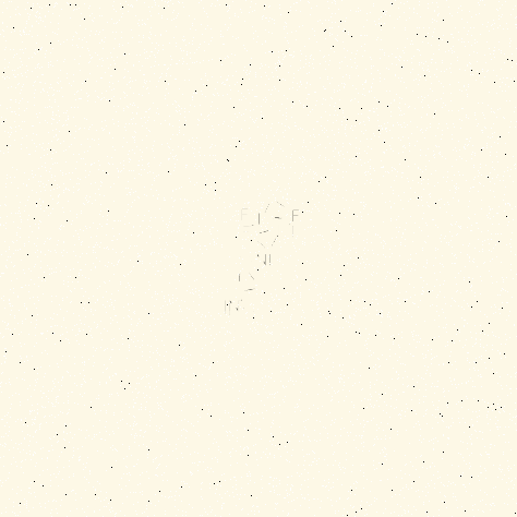 CCCC(C)(C)NC(=O)c1ccc(C(=O)Nc2ccc(-c3ccc(C(C)(CC)CC)cc3C(F)(F)F)c(C(F)(F)F)c2)cc1